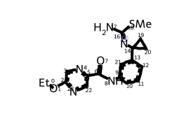 CCOc1cnc(C(=O)Nc2cccc(C3(/N=C(/N)SC)CC3)c2)cn1